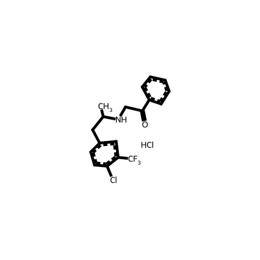 CC(Cc1ccc(Cl)c(C(F)(F)F)c1)NCC(=O)c1ccccc1.Cl